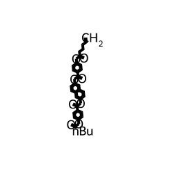 C=CCCCC(=O)Oc1ccc(C(=O)Oc2ccc3cc(OC(=O)c4ccc(OC(=O)CCCC)cc4)ccc3c2)cc1